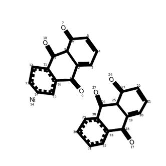 O=C1C2=CC=CC(=O)C2C(=O)c2ccccc21.O=C1C2=CC=CC(=O)C2C(=O)c2ccccc21.[Ni]